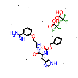 N=C(N)c1cccc(OCCCNC(=O)[C@H](Cc2c[nH]cn2)NC(=O)OCc2ccccc2)c1.O=C(O)C(F)(F)F.O=C(O)C(F)(F)F